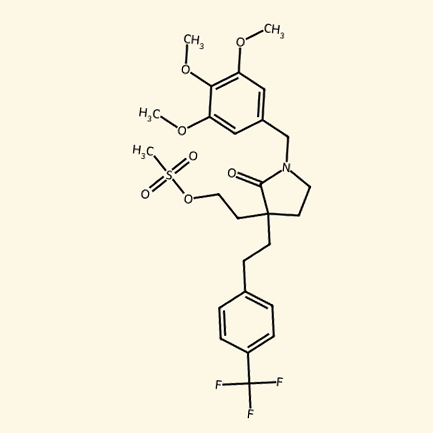 COc1cc(CN2CCC(CCOS(C)(=O)=O)(CCc3ccc(C(F)(F)F)cc3)C2=O)cc(OC)c1OC